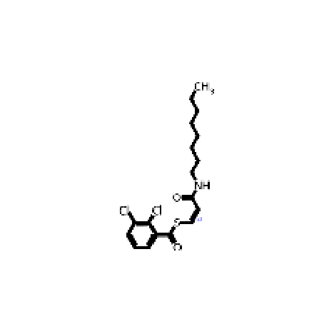 CCCCCCCCNC(=O)/C=C\SC(=O)c1cccc(Cl)c1Cl